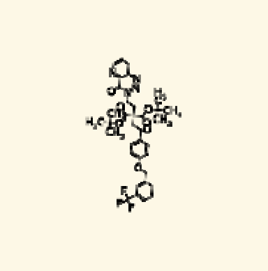 CC(C)(C)OC(=O)C(CCn1nnc2cccnc2c1=O)(CC(=O)c1ccc(OCc2cccc(C(F)(F)F)c2)cc1)C(=O)OC(C)(C)C